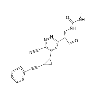 CNC(=O)N/C=C(\C=O)c1cc(C2CC2C#Cc2ccccc2)c(C#N)nn1